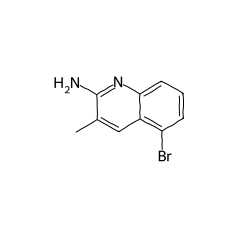 Cc1cc2c(Br)cccc2nc1N